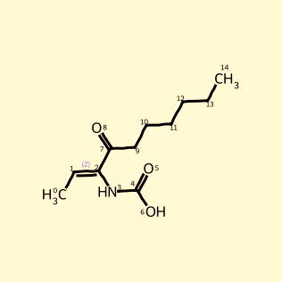 C/C=C(\NC(=O)O)C(=O)CCCCCC